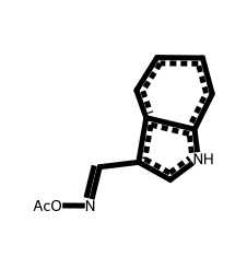 CC(=O)O/N=C/c1c[nH]c2ccccc12